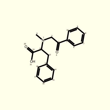 CN(CC(=O)c1ccccc1)C(Cc1ccccc1)C(=O)O